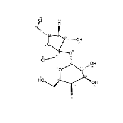 OC[C@H]1O[C@H](O[C@@]2(CCl)O[C@H](CCl)[C@@H](Cl)[C@@H]2O)[C@H](O)[C@@H](O)[C@H]1F